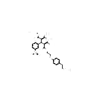 COC(=O)C1=C(C)NC(C)=C(C(=O)OCCSc2ccc(CCO)cc2)C1c1cccc([N+](=O)[O-])c1